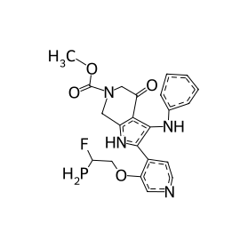 COC(=O)N1CC(=O)c2c([nH]c(-c3ccncc3OCC(F)P)c2Nc2ccccc2)C1